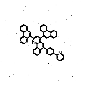 c1ccc(-c2ccc(-c3cc4c(-c5cc6ccccc6c6ccccc56)cc(-c5cc6ccccc6c6ccccc56)nc4c4ccccc34)cc2)nc1